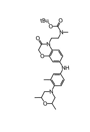 Cc1cc(Nc2ccc3c(c2)OCC(=O)N3CCN(C)C(=O)OC(C)(C)C)ccc1N1CC(C)OC(C)C1